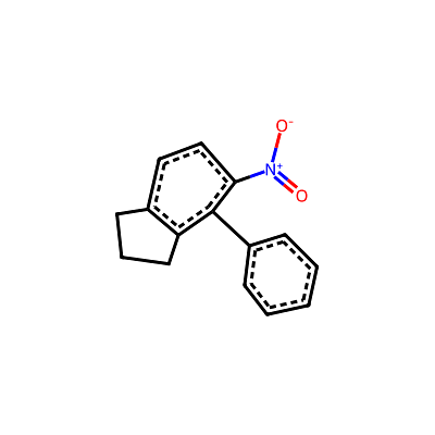 O=[N+]([O-])c1ccc2c(c1-c1ccccc1)CCC2